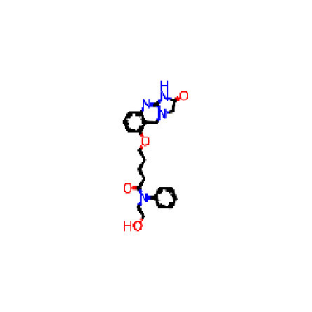 O=C1CN2Cc3c(cccc3OCCCCC(=O)N(CCO)c3ccccc3)N=C2N1